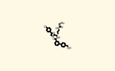 CC(C)(C)OC(=O)NCCC[C@H](NC(=O)c1cccc(-c2ccc(CO)cc2)c1)c1ncc(-c2ccc(Cl)cc2)o1